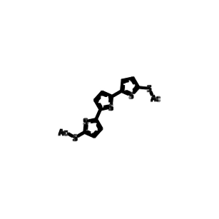 CC(=O)Sc1ccc(-c2ccc(-c3ccc(SC(C)=O)s3)s2)s1